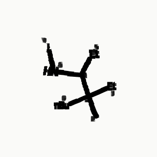 CCCCC(C)(CC)C(CC)NI